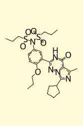 CCCOc1ccc(N(S(=O)(=O)CCC)S(=O)(=O)CCC)cc1-c1nn2c(C3CCCC3)nc(C)c2c(=O)[nH]1